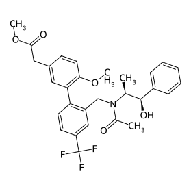 COC(=O)Cc1ccc(OC)c(-c2ccc(C(F)(F)F)cc2CN(C(C)=O)[C@@H](C)[C@H](O)c2ccccc2)c1